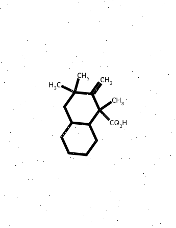 C=C1C(C)(C)CC2CCCCC2C1(C)C(=O)O